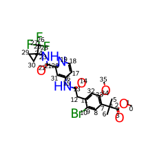 COC(=O)C(C)(C)c1cc(Br)c(CC(=O)Nc2ccnc(C(=O)NC3(C(F)(F)F)CC3)c2)cc1OC